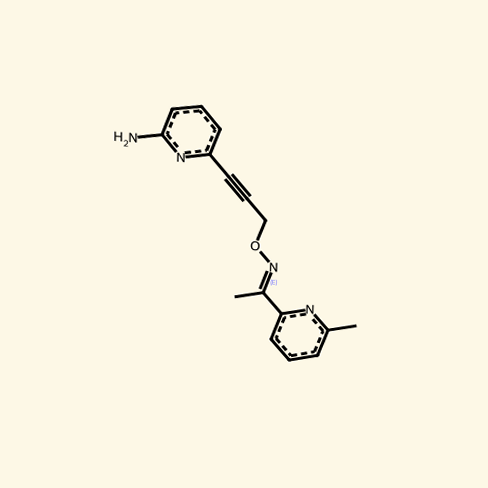 C/C(=N\OCC#Cc1cccc(N)n1)c1cccc(C)n1